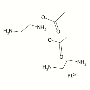 CC(=O)[O-].CC(=O)[O-].NCCN.NCCN.[Pt+2]